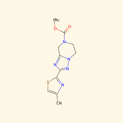 CC(C)(C)OC(=O)N1CCn2nc(-c3nc(C#N)cs3)nc2C1